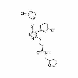 O=C(CCCc1nnc(SCC2=CC=CC(Cl)C2)n1C1=CC(Cl)=CCC1)NCC1CCCO1